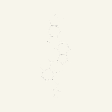 CCCS(=O)(=O)Nc1ccc(F)c(C(=O)c2c[nH]c3ncc(-c4cc5c(cc4Cl)OCO5)cc23)c1F